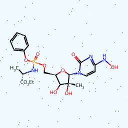 CCOC(=O)[C@H](C)NP(=O)(OC[C@H]1O[C@@H](n2ccc(NO)nc2=O)[C@](C)(O)C1O)Oc1ccccc1